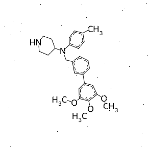 COc1cc(-c2cccc(CN(c3ccc(C)cc3)C3CCNCC3)c2)cc(OC)c1OC